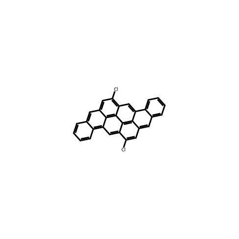 Clc1cc2cc3ccccc3c3cc4c(Cl)cc5cc6ccccc6c6cc1c(c23)c4c56